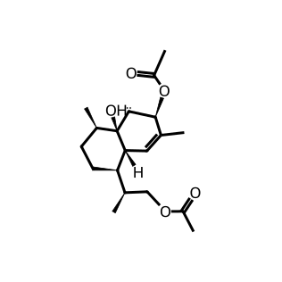 CC(=O)OC[C@@H](C)[C@H]1CC[C@@H](C)[C@]2(O)[C][C@@H](OC(C)=O)C(C)=C[C@H]12